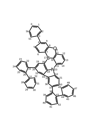 c1ccc(-c2ccc3c(c2)Oc2cccc4c2B3c2cc(-c3ccccc3-c3ccccc3)cc3c5cc(-c6ccccc6-c6ccccc6)ccc5n-4c23)cc1